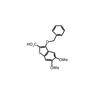 COc1cc2sc(C(=O)O)c(OCc3ccccc3)c2cc1OC